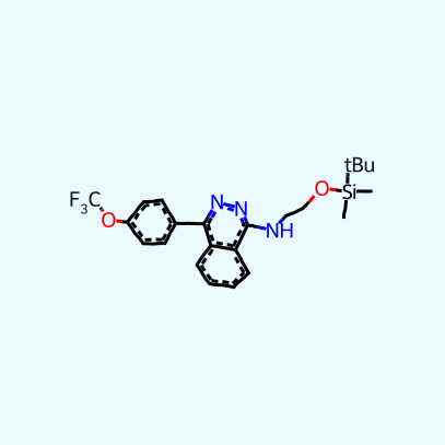 CC(C)(C)[Si](C)(C)OCCNc1nnc(-c2ccc(OC(F)(F)F)cc2)c2ccccc12